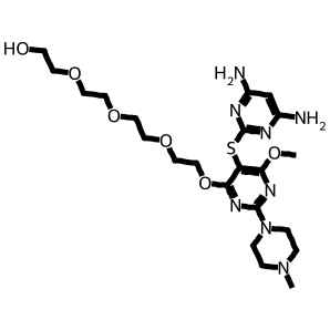 COc1nc(N2CCN(C)CC2)nc(OCCOCCOCCOCCO)c1Sc1nc(N)cc(N)n1